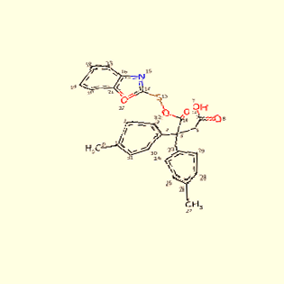 Cc1ccc(C(CC(=O)O)(C(=O)OSc2nc3ccccc3o2)c2ccc(C)cc2)cc1